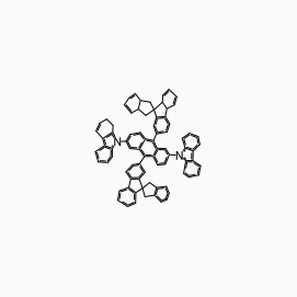 C1=CC2CC3(CC2C=C1)c1cc(-c2c4ccc(-n5c6c(c7ccccc75)C=CCC6)cc4c(-c4ccc5c(c4)C4(Cc6ccccc6C4)c4ccccc4-5)c4ccc(-n5c6ccccc6c6ccccc65)cc24)ccc1C1C=CC=CC13